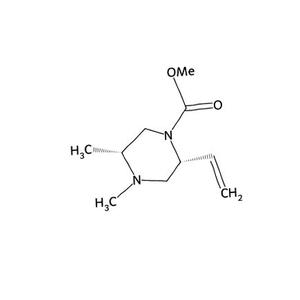 C=C[C@@H]1CN(C)[C@H](C)CN1C(=O)OC